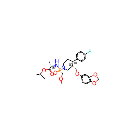 COCP(=O)(N[C@@H](C)C(=O)OC(C)C)N1CC[C@@H](c2ccc(F)cc2)[C@H](COc2ccc3c(c2)OCO3)C1